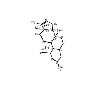 C[C@@H]1CC(O)CC2CC[C@@H]3[C@H](CC[C@]4(C)C(I)=CC[C@@H]34)C21